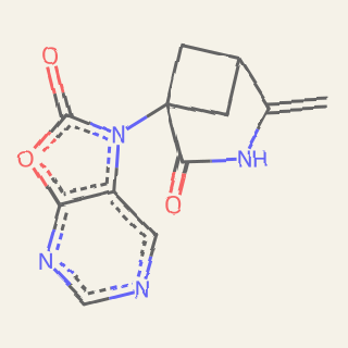 C=C1NC(=O)C2(n3c(=O)oc4ncncc43)CC1C2